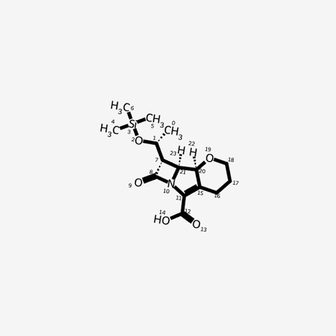 C[C@@H](O[Si](C)(C)C)[C@H]1C(=O)N2C(C(=O)O)=C3CCCO[C@@H]3[C@H]12